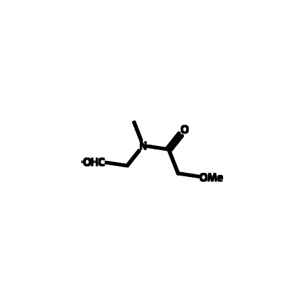 COCC(=O)N(C)C[C]=O